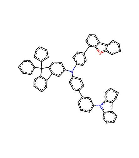 c1ccc(C2(c3ccccc3)c3ccccc3-c3cc(N(c4ccc(-c5cccc(-n6c7ccccc7c7ccccc76)c5)cc4)c4ccc(-c5cccc6c5oc5ccccc56)cc4)ccc32)cc1